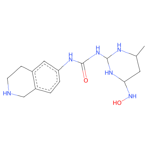 CC1CC(NO)NC(NC(=O)Nc2ccc3c(c2)CCNC3)N1